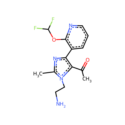 CC(=O)c1c(-c2cccnc2OC(F)F)nc(C)n1CCN